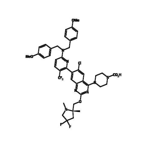 COc1ccc(CN(Cc2ccc(OC)cc2)c2ccc(C(F)(F)F)c(-c3cc4nc(OC[C@]5(C)CC(F)(F)CN5C)nc(N5CCN(C(=O)O)CC5)c4cc3Cl)n2)cc1